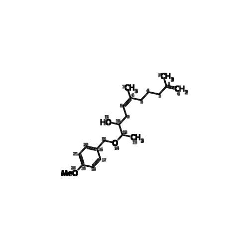 C=C(C)CCCC(C)=CCC(O)C(C)OCc1ccc(OC)cc1